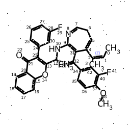 C/C=C(/C)C1=CCC=NC(NC(C)c2oc3ccccc3c(=O)c2-c2cccc(F)c2)=C1C(=N)c1ccc(OC)c(F)c1